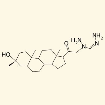 CC12CC[C@@](C)(O)CC1CCC1C2CCC2(C)C(C(=O)CN(N)/C=N\N)CCC12